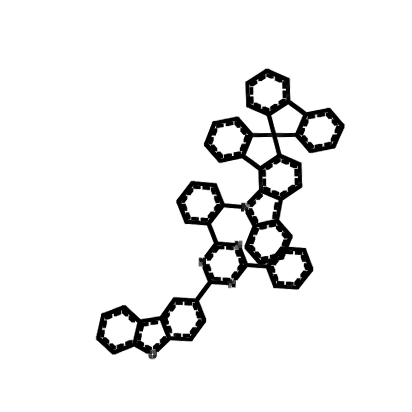 c1ccc(-c2nc(-c3ccc4oc5ccccc5c4c3)nc(-c3ccccc3-n3c4ccccc4c4ccc5c(c43)-c3ccccc3C53c4ccccc4-c4ccccc43)n2)cc1